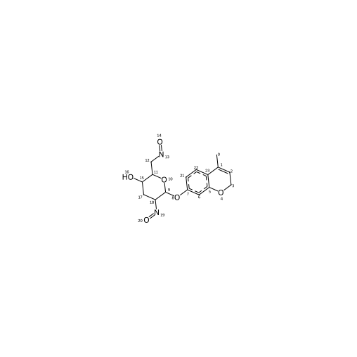 CC1=CCOc2cc(OC3OC(CN=O)C(O)CC3N=O)ccc21